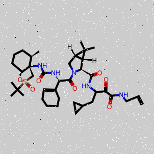 C=CCNC(=O)C(=O)C(CC1CC1)NC(=O)[C@@H]1[C@@H]2[C@H](CN1C(=O)[C@@H](NC(=O)N[C@@]1(CS(=O)(=O)C(C)(C)C)[C@H](C)CCC[C@@H]1C)C1=CCCCC1)C2(C)C